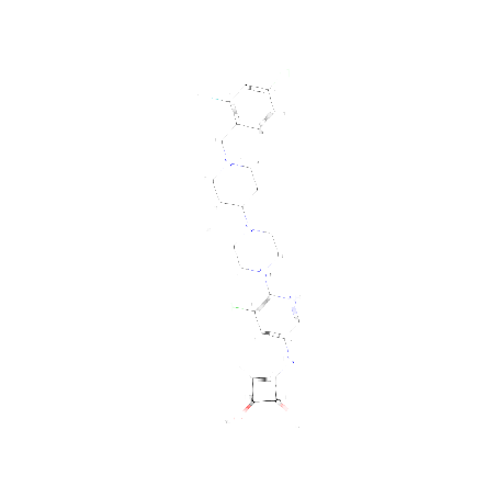 CCc1c(Nc2cnc(N3CCN(C4CCN(Cc5ccc(Cl)cc5F)CC4)[C@@H](CC)C3)c(Cl)c2)c(=O)c1=O